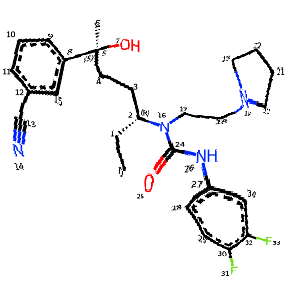 CC[C@H](CC[C@](C)(O)c1cccc(C#N)c1)N(CCN1CCCC1)C(=O)Nc1ccc(F)c(F)c1